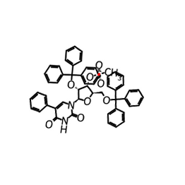 CS(=O)(=O)O[C@H]1[C@@H](OC(c2ccccc2)(c2ccccc2)c2ccccc2)[C@H](n2cc(-c3ccccc3)c(=O)[nH]c2=O)O[C@@H]1COC(c1ccccc1)(c1ccccc1)c1ccccc1